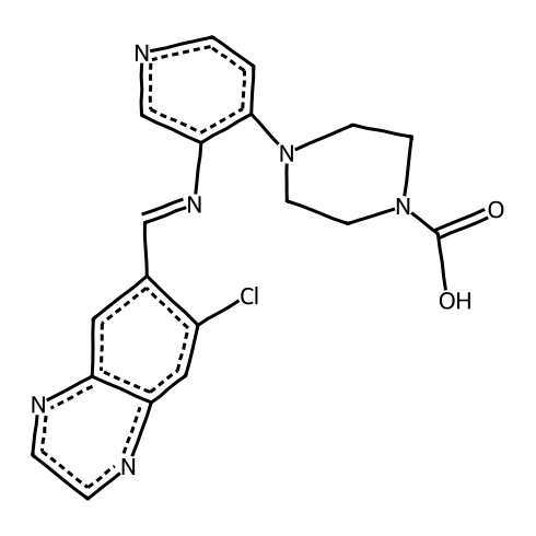 O=C(O)N1CCN(c2ccncc2N=Cc2cc3nccnc3cc2Cl)CC1